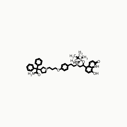 CC(C)(C)[Si](C)(C)OC(CNCCc1ccc(OCCCN2CCC(C(C(N)=O)(c3ccccc3)c3ccccc3)C2)cc1)c1ccc(O)c2[nH]c(=O)ccc12